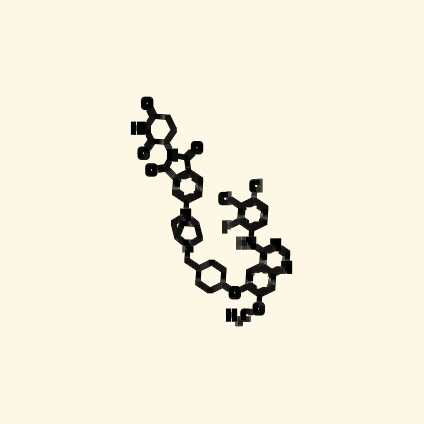 COc1cc2ncnc(Nc3ccc(Cl)c(Cl)c3F)c2cc1OC1CCC(CN2CC3CC2CN3c2ccc3c(c2)C(=O)N(C2CCC(=O)NC2=O)C3=O)CC1